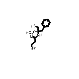 CC(C)CCC(=O)N[C@@](CS)(Cc1ccccc1)C(=O)O